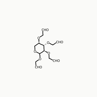 O=CCOC1OC[C@@H](OCC=O)[C@H](OCC=O)[C@H]1OCC=O